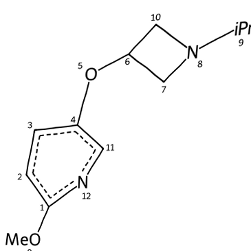 COc1ccc(OC2CN(C(C)C)C2)cn1